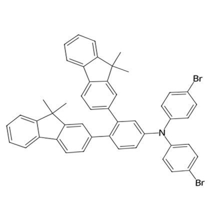 CC1(C)c2ccccc2-c2ccc(-c3ccc(N(c4ccc(Br)cc4)c4ccc(Br)cc4)cc3-c3ccc4c(c3)C(C)(C)c3ccccc3-4)cc21